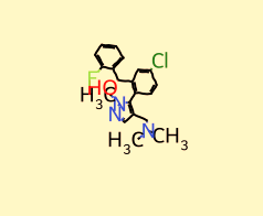 CN(C)Cc1cnn(C)c1-c1ccc(Cl)cc1C(O)c1ccccc1F